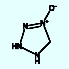 [O-][N+]1=NNNC1